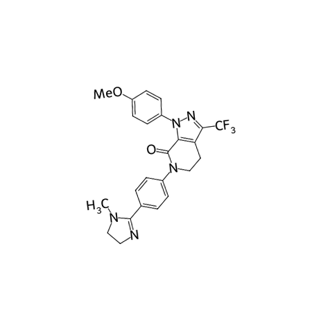 COc1ccc(-n2nc(C(F)(F)F)c3c2C(=O)N(c2ccc(C4=NCCN4C)cc2)CC3)cc1